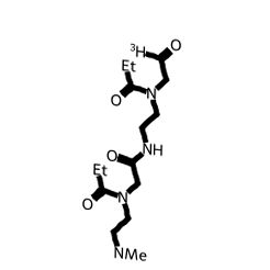 [3H]C(=O)CN(CCNC(=O)CN(CCNC)C(=O)CC)C(=O)CC